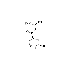 CC[C@H](C)[C@H](NC(=O)[C@H](CC(C)C)NC(=O)C(C)C)C(=O)O